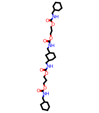 O=C(NCC1CCCCC1)OCCCOC(=O)NCC1CCCC(CNC(=O)OCCCOC(=O)NCC2CCCCC2)C1